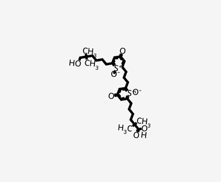 CC(C)(CO)CCCCc1cc(=O)cc(CCCc2cc(=O)cc(CCCCC(C)(C)C(=O)O)[s+]2[O-])[s+]1[O-]